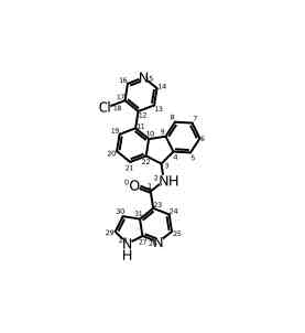 O=C(NC1c2ccccc2-c2c(-c3ccncc3Cl)cccc21)c1ccnc2[nH]ccc12